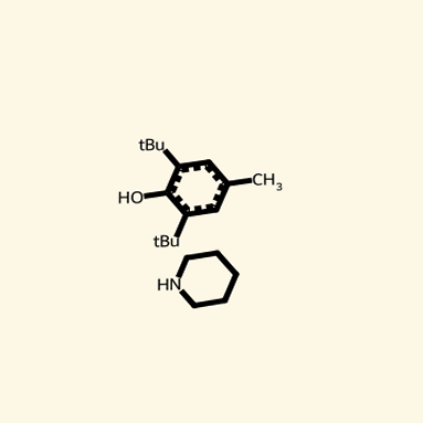 C1CCNCC1.Cc1cc(C(C)(C)C)c(O)c(C(C)(C)C)c1